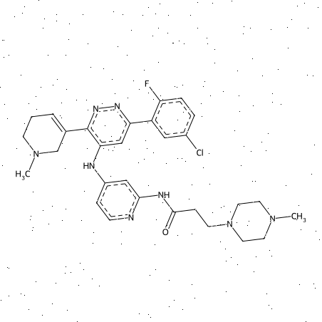 CN1CCN(CCC(=O)Nc2cc(Nc3cc(-c4cc(Cl)ccc4F)nnc3C3=CCCN(C)C3)ccn2)CC1